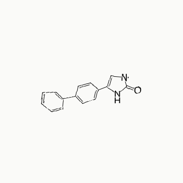 O=C1[N]C=C(c2ccc(-c3ccccc3)cc2)N1